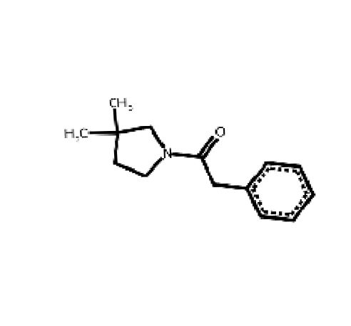 CC1(C)CCN(C(=O)Cc2ccccc2)C1